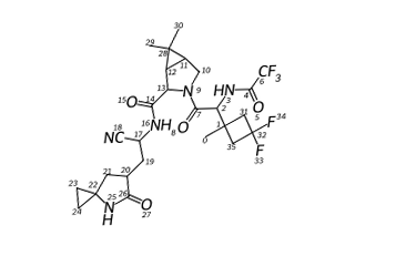 CC1(C(NC(=O)C(F)(F)F)C(=O)N2CC3C(C2C(=O)NC(C#N)CC2CC4(CC4)NC2=O)C3(C)C)CC(F)(F)C1